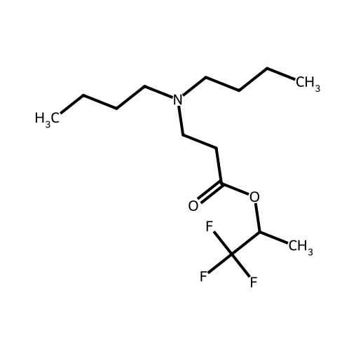 CCCCN(CCCC)CCC(=O)OC(C)C(F)(F)F